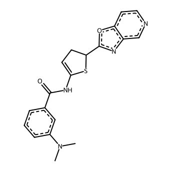 CN(C)c1cccc(C(=O)NC2=CCC(c3nc4cnccc4o3)S2)c1